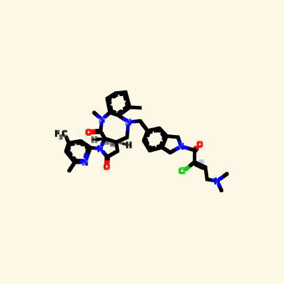 Cc1cc(C(F)(F)F)cc(N2C(=O)C[C@@H]3CN(Cc4ccc5c(c4)CN(C(=O)/C(Cl)=C/CN(C)C)C5)c4c(C)cccc4N(C)C(=O)[C@H]32)n1